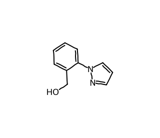 OCc1ccccc1-n1cccn1